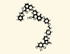 Cc1c(OC2CCC(OCCN3CCN(c4ccc5c(C6CCC(=O)NC6=O)nn(C)c5n4)CC3)CC2)cccc1-c1ccc(N2CCc3cccc(C(=O)Nc4nc5ccccc5s4)c3C2)nc1C(=O)O